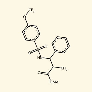 COC(=O)C(C)C(NS(=O)(=O)c1ccc(OC(F)(F)F)cc1)c1ccccc1